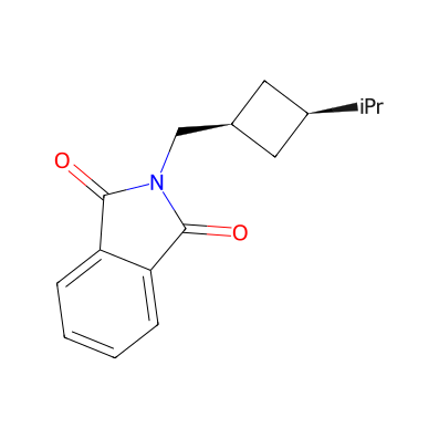 CC(C)[C@H]1C[C@@H](CN2C(=O)c3ccccc3C2=O)C1